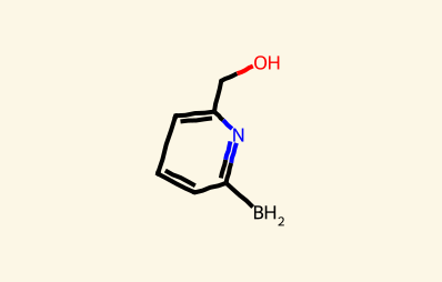 Bc1cccc(CO)n1